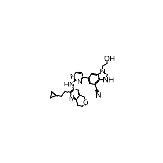 N#Cc1cc(-c2ccnc(Nc3cc4c(nc3CCC3CC3)CCOC4)n2)cc2c1NCN2CCO